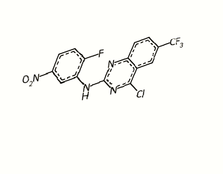 O=[N+]([O-])c1ccc(F)c(Nc2nc(Cl)c3cc(C(F)(F)F)ccc3n2)c1